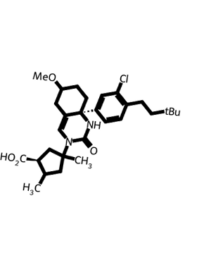 COC1CC[C@@]2(c3ccc(CCC(C)(C)C)c(Cl)c3)NC(=O)N(C3(C)CC(C)[C@@H](C(=O)O)C3)C=C2C1